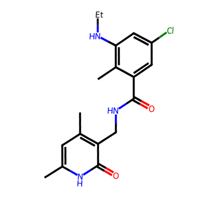 CCNc1cc(Cl)cc(C(=O)NCc2c(C)cc(C)[nH]c2=O)c1C